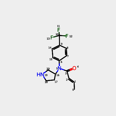 CC=CC(=O)N(c1ccc(C(F)(F)F)cc1)C1CCNC1